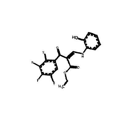 CCOC(=O)/C(=C\Nc1ccccc1O)C(=O)c1cc(F)c(F)c(F)c1F